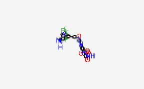 C[C@@H]1Cc2c(ccc3[nH]ncc23)[C@@H](c2c(F)cc(C3=CCC(C(=O)N4CCC(N5Cc6cc7c(cc6C5)C(=O)N(C5CCC(=O)NC5=O)C7=O)CC4)CC3)cc2F)N1CC(F)F